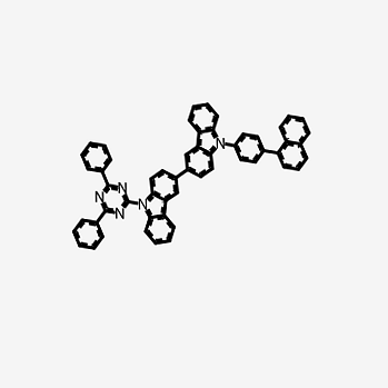 c1ccc(-c2nc(-c3ccccc3)nc(-n3c4ccccc4c4cc(-c5ccc6c(c5)c5ccccc5n6-c5ccc(-c6cccc7ccccc67)cc5)ccc43)n2)cc1